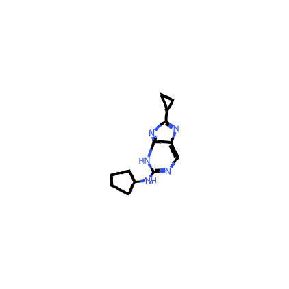 c1nc(NC2CCCC2)[nH]c2nc(C3CC3)nc1-2